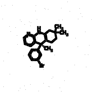 CC1(C)CCC2=C(C1)Nc1ncccc1[C@]2(C)c1cccc(Br)c1